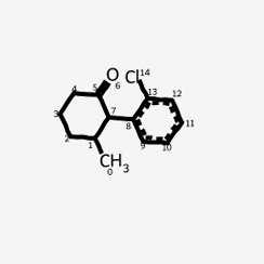 CC1CCCC(=O)C1c1ccccc1Cl